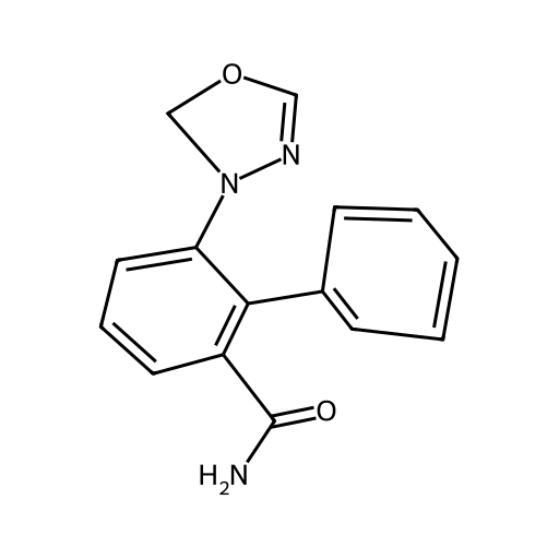 NC(=O)c1cccc(N2COC=N2)c1-c1ccccc1